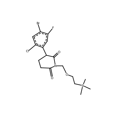 C[Si](C)(C)CCOCN1C(=O)CCC(c2cc(F)c(Br)cc2Cl)C1=O